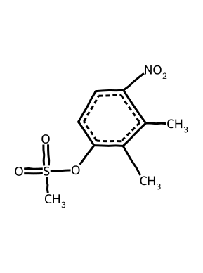 Cc1c(OS(C)(=O)=O)ccc([N+](=O)[O-])c1C